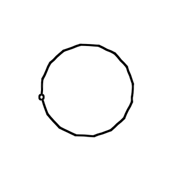 C1CCCCCCCOCCCCCCC1